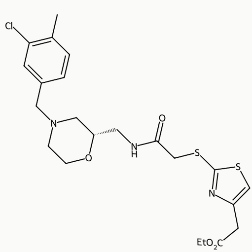 CCOC(=O)Cc1csc(SCC(=O)NC[C@H]2CN(Cc3ccc(C)c(Cl)c3)CCO2)n1